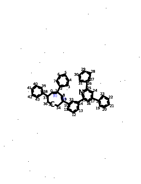 C1=C(c2ccccc2)\C=C(\c2cccc(-c3cc(-c4ccccc4)cc(-c4ccccc4)n3)c2)CCCC/1c1ccccc1